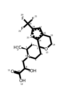 C[C@H]1C[C@@]2(CCN1CC(O)C(=O)O)OCCc1cc(C(F)(F)F)sc12